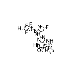 CC(F)(CCn1nc(-c2nc3c4c(n2)NC(=O)[C@]4(C)C(C)(C)C(=O)N3)c2cc(F)cnc21)C(F)(F)F